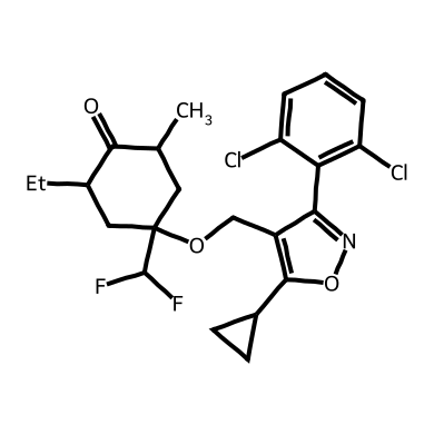 CCC1CC(OCc2c(-c3c(Cl)cccc3Cl)noc2C2CC2)(C(F)F)CC(C)C1=O